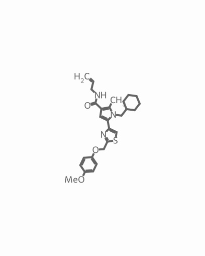 C=CCNC(=O)c1cc(-c2csc(COc3ccc(OC)cc3)n2)n(CC2CCCCC2)c1C